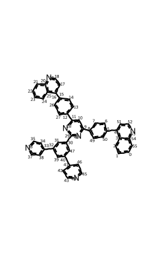 c1ccc2c(-c3ccc(-c4cc(-c5ccc(-c6ccnc7ccccc67)cc5)nc(-c5cc(-c6ccncc6)cc(-c6ccncc6)c5)n4)cc3)ccnc2c1